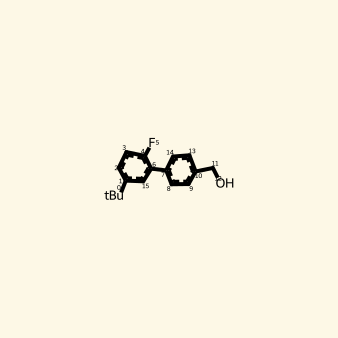 CC(C)(C)c1ccc(F)c(-c2ccc(CO)cc2)c1